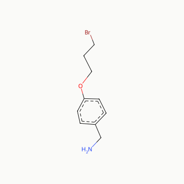 NCc1ccc(OCCCBr)cc1